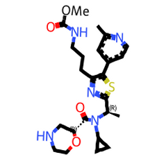 COC(=O)NCCCc1nc([C@@H](C)N(C(=O)[C@H]2CNCCO2)C2CC2)sc1-c1ccnc(C)c1